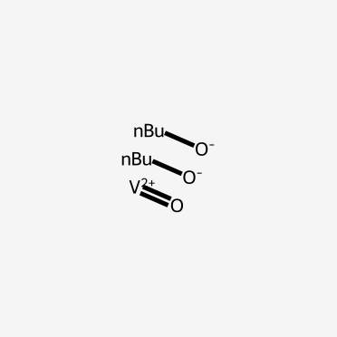 CCCC[O-].CCCC[O-].[O]=[V+2]